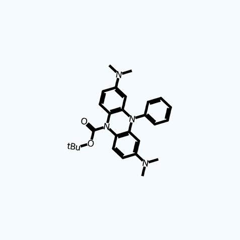 CN(C)c1ccc2c(c1)N(c1ccccc1)c1cc(N(C)C)ccc1N2C(=O)OC(C)(C)C